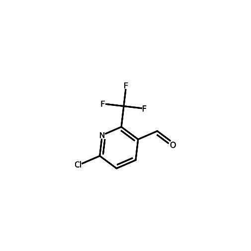 O=Cc1ccc(Cl)nc1C(F)(F)F